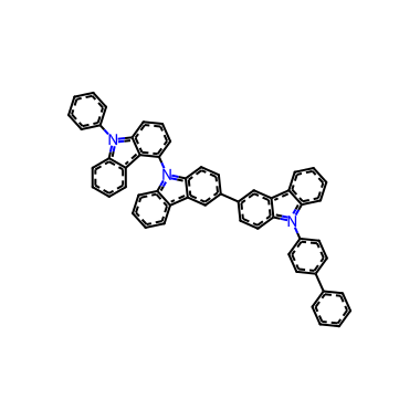 c1ccc(-c2ccc(-n3c4ccccc4c4cc(-c5ccc6c(c5)c5ccccc5n6-c5cccc6c5c5ccccc5n6-c5ccccc5)ccc43)cc2)cc1